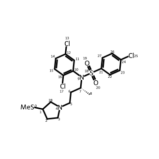 CSC1CCN(CC[C@@H](C)N(c2cc(Cl)ccc2Cl)S(=O)(=O)c2ccc(Cl)cc2)C1